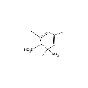 CC1=CC(C)([N+](=O)[O-])C(C(=O)O)C(C)=C1